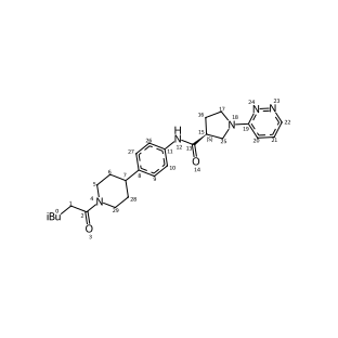 CCC(C)CC(=O)N1CCC(c2ccc(NC(=O)[C@H]3CCN(c4cccnn4)C3)cc2)CC1